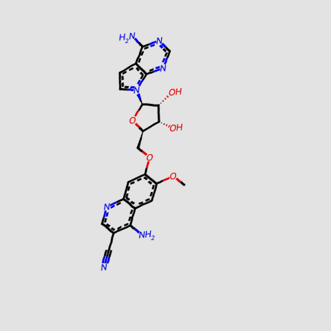 COc1cc2c(N)c(C#N)cnc2cc1OC[C@H]1O[C@@H](n2ccc3c(N)ncnc32)[C@H](O)[C@@H]1O